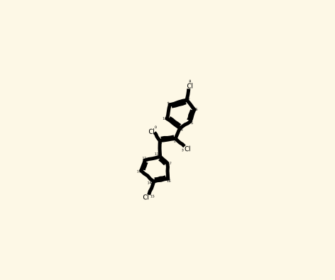 ClC(=C(Cl)c1ccc(Cl)cc1)c1ccc(Cl)cc1